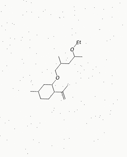 C=C(C)C1CCC(C)CC1OCC(C)CC(C)OCC